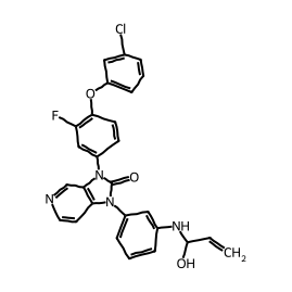 C=CC(O)Nc1cccc(-n2c(=O)n(-c3ccc(Oc4cccc(Cl)c4)c(F)c3)c3cnccc32)c1